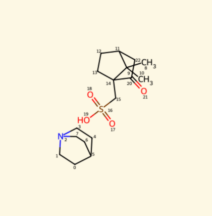 C1CN2CCC1CC2.CC1(C)C2CCC1(CS(=O)(=O)O)C(=O)C2